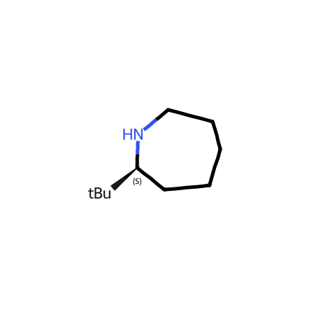 CC(C)(C)[C@@H]1CCCCCN1